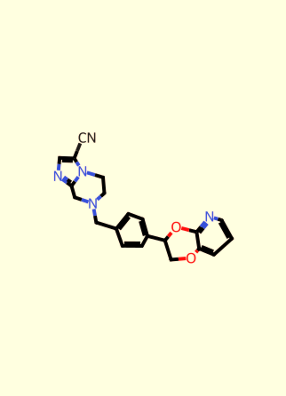 N#Cc1cnc2n1CCN(Cc1ccc(C3COc4cccnc4O3)cc1)C2